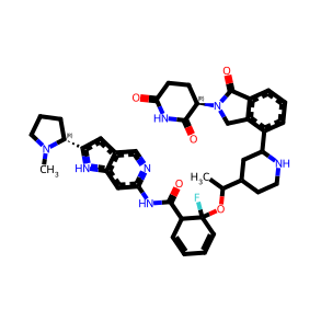 CC(OC1(F)C=CC=CC1C(=O)Nc1cc2[nH]c([C@H]3CCCN3C)cc2cn1)C1CCNC(c2cccc3c2CN([C@@H]2CCC(=O)NC2=O)C3=O)C1